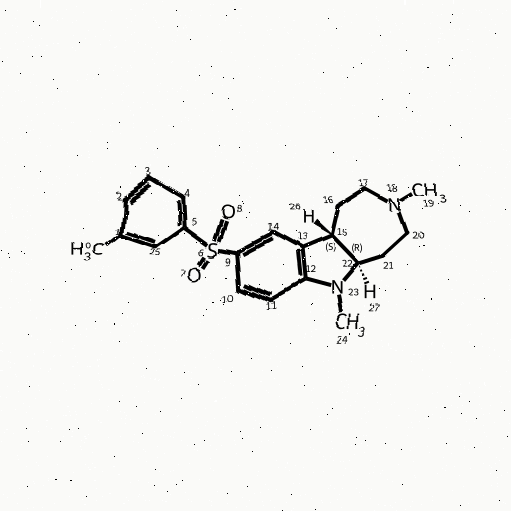 Cc1cccc(S(=O)(=O)c2ccc3c(c2)[C@@H]2CCN(C)CC[C@H]2N3C)c1